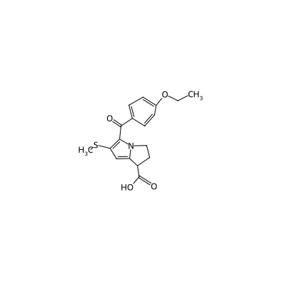 CCOc1ccc(C(=O)c2c(SC)cc3n2CCC3C(=O)O)cc1